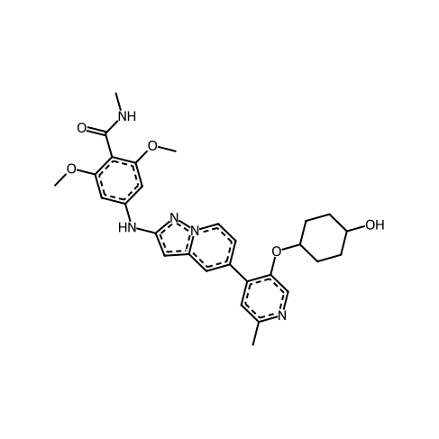 CNC(=O)c1c(OC)cc(Nc2cc3cc(-c4cc(C)ncc4OC4CCC(O)CC4)ccn3n2)cc1OC